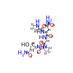 NC(=O)CC[C@H](NC(=O)[C@@H]1CCCN1C(=O)CNC(=O)[C@H](CCC(N)=O)NC(=O)[C@@H]1CCCN1)C(=O)O